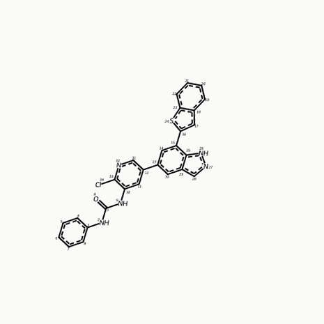 O=C(Nc1ccccc1)Nc1cc(-c2cc(-c3cc4ccccc4s3)c3[nH]ncc3c2)cnc1Cl